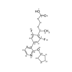 CC(CCCC(=O)O)c1c(F)cc(-c2cccnc2OC2CCCC2)cc1F